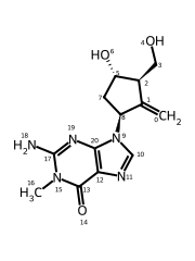 C=C1[C@H](CO)[C@@H](O)C[C@@H]1n1cnc2c(=O)n(C)c(N)nc21